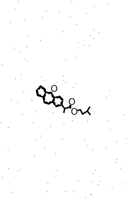 CC(C)CCOC(=O)C(C)c1ccc2c(=O)c3ccccc3ccc2c1